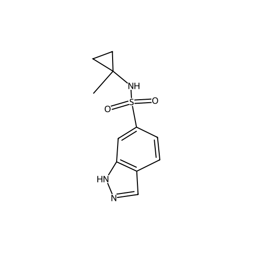 CC1(NS(=O)(=O)c2ccc3cn[nH]c3c2)CC1